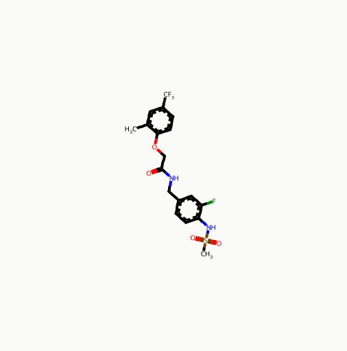 Cc1cc(C(F)(F)F)ccc1OCC(=O)NCc1ccc(NS(C)(=O)=O)c(F)c1